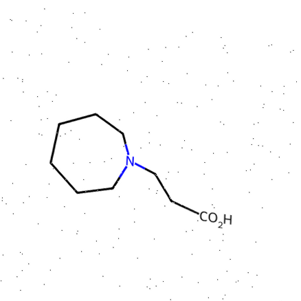 O=C(O)CCN1CCCCCC1